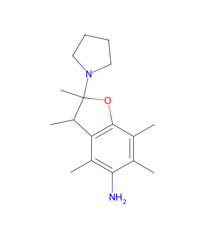 Cc1c(C)c2c(c(C)c1N)C(C)C(C)(N1CCCC1)O2